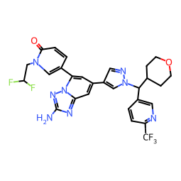 Nc1nc2cc(-c3cnn(C(c4ccc(C(F)(F)F)nc4)C4CCOCC4)c3)cc(-c3ccc(=O)n(CC(F)F)c3)n2n1